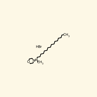 Br.CCCCCCCCCCCCCCCCN(C)N1CCOCC1